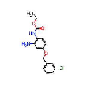 CCOC(=O)Nc1ccc(OCc2cccc(Cl)c2)cc1N